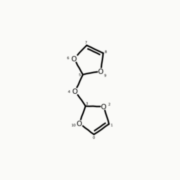 C1=COC(OC2OC=CO2)O1